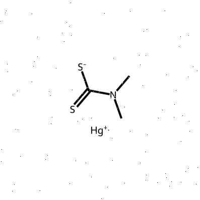 CN(C)C(=S)[S-].[Hg+]